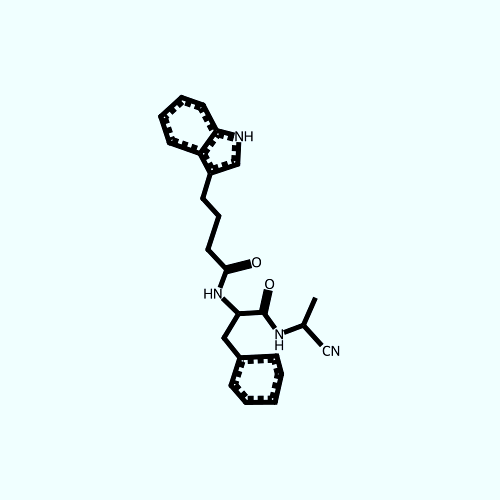 CC(C#N)NC(=O)C(Cc1ccccc1)NC(=O)CCCc1c[nH]c2ccccc12